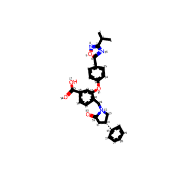 CC(C)c1noc(-c2ccc(Oc3cc(C(=O)O)ccc3CN3C[C@H](c4ccccc4)CC3=O)cc2)n1